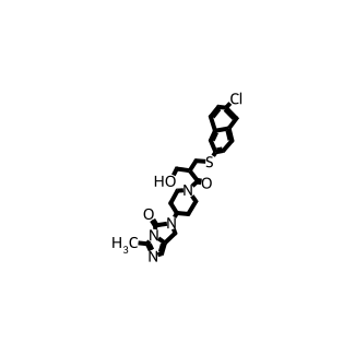 Cc1ncc2n1C(=O)N(C1CCN(C(=O)C(CO)CSc3ccc4cc(Cl)ccc4c3)CC1)C2